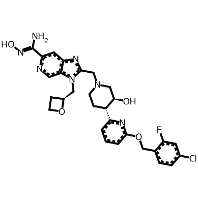 NC(=NO)c1cc2nc(CN3CC[C@@H](c4cccc(OCc5ccc(Cl)cc5F)n4)[C@H](O)C3)n(C[C@@H]3CCO3)c2cn1